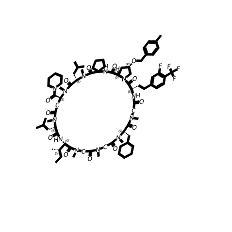 CC[C@H](C)[C@@H]1NC(=O)[C@H](CC(C)C)N(C)C(=O)C[C@@H](C(=O)N2CCCCC2)N(C)C(=O)[C@H](CC(C)C)N(C)C(=O)C2(CCCC2)NC(=O)[C@@H]2C[C@@H](OCc3ccc(C)cc3)CN2C(=O)[C@H](CCc2ccc(C(F)(F)F)c(F)c2)NC(=O)CN(C)C(=O)[C@H](CC2CCCCC2)N(C)C(=O)CN(C)C(=O)CN(C)C1=O